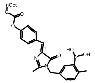 CCCCCCCCOC(=O)Oc1ccc(/C=C2\N=C(C)N(Cc3ccc(C)c(B(O)O)c3)C2=O)cc1